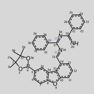 CC1(C)OB(c2ccc3oc4cccc(/C=N/C(=N\C(=N)c5ccccc5)c5ccccc5)c4c3c2)OC1(C)C